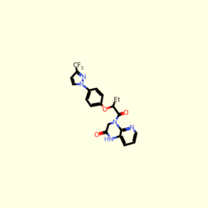 CCC(Oc1ccc(-n2ccc(C(F)(F)F)n2)cc1)C(=O)N1CC(=O)Nc2cccnc21